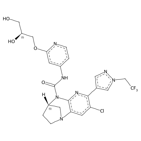 O=C(Nc1ccnc(OC[C@@H](O)CO)c1)N1c2nc(-c3cnn(CC(F)(F)F)c3)c(Cl)cc2N2CC[C@H]1C2